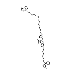 COC(=O)CCCCC/C=C\CCCCCCCCOCC(COCCCCCCC(=O)OC)N(C)C